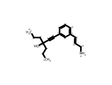 CCCC(O)(C#Cc1cccc(C=CCN)c1)CCC